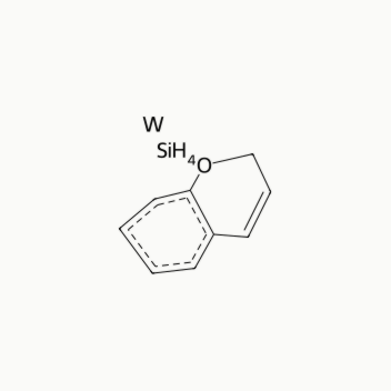 C1=Cc2ccccc2OC1.[SiH4].[W]